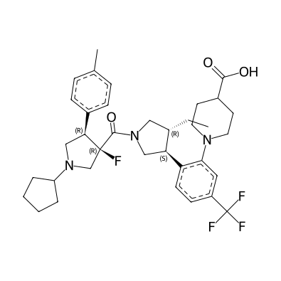 CC[C@H]1CN(C(=O)[C@]2(F)CN(C3CCCC3)C[C@H]2c2ccc(C)cc2)C[C@@H]1c1ccc(C(F)(F)F)cc1N1CCC(C(=O)O)CC1